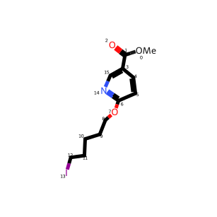 COC(=O)c1ccc(OCCCCCI)nc1